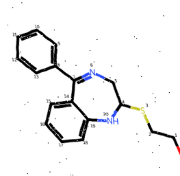 OCCSC1CN=C(c2ccccc2)c2ccccc2N1